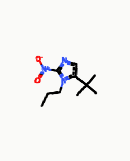 CCCn1c(C(C)(C)C)cnc1[N+](=O)[O-]